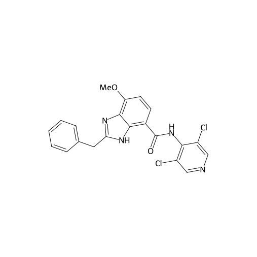 COc1ccc(C(=O)Nc2c(Cl)cncc2Cl)c2[nH]c(Cc3ccccc3)nc12